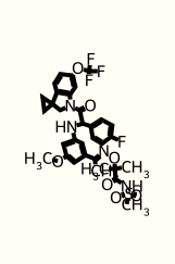 COc1cc(NC(C(=O)N2CC3(CC3)c3ccc(OC(F)(F)F)cc32)c2ccc(F)cc2)cc(C(C)=NOC(C)(C)C(=O)NS(C)(=O)=O)c1